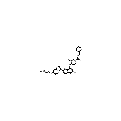 COCCOc1ccn2c(-c3ccc4cc(F)cc(OC5CCN(C(=O)OCc6ccccc6)CC5F)c4n3)cnc2c1